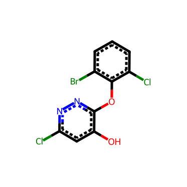 Oc1cc(Cl)nnc1Oc1c(Cl)cccc1Br